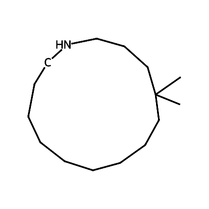 CC1(C)CCCCCCCCCNCCC1